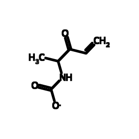 C=CC(=O)C(C)NC([O])=O